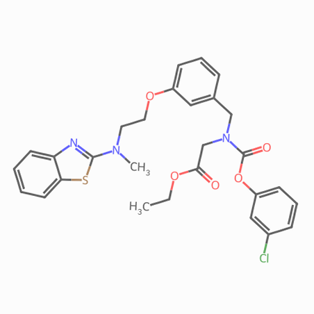 CCOC(=O)CN(Cc1cccc(OCCN(C)c2nc3ccccc3s2)c1)C(=O)Oc1cccc(Cl)c1